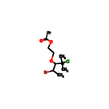 CC(C)C(=O)OCCOC(C(C)Br)[Si](C)(C)Cl